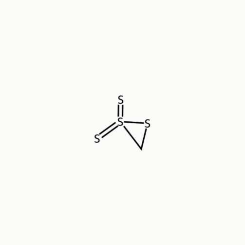 S=S1(=S)CS1